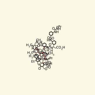 CCCNC(=O)Nc1cccc(S(=O)(=O)Nc2cccc(C(CC(=O)O)NC(=O)Nc3ccc(NC(=O)N(C)CC(=O)N(C)CC(=O)N(C)CC(=O)N(C)CC(=O)N(C)CC(=O)N(C)CC(=O)N(C)CC(=O)N(C)CC(=O)NC(CC(=O)O)C(=O)N4CCCC4C(=O)NC(C(=O)OC4(CC)C(=O)OCc5c4cc4n(c5=O)Cc5c-4nc4ccccc4c5CC)C(C)C)cc3)c2)c1